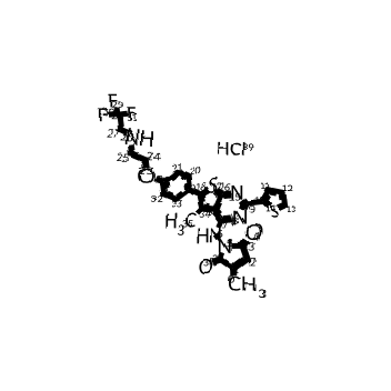 CC1=CC(=O)N(Nc2nc(-c3cccs3)nc3sc(-c4ccc(OCCNCC(F)(F)F)cc4)c(C)c23)C1=O.Cl